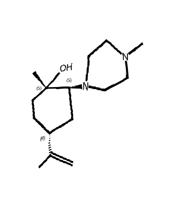 C=C(C)[C@@H]1CC[C@](C)(O)[C@@H](N2CCN(C)CC2)C1